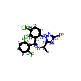 CC1N=C(c2c(F)cccc2F)c2c(ccc(Cl)c2Cl)-n2nc(I)nc21